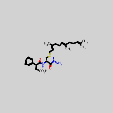 CC(C)=CCC/C(C)=C/CC/C(C)=C/CSC[C@H](NC(=O)C(CC(=O)O)c1ccccc1)C(=O)NN